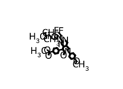 COC(=O)c1ccc(-c2c(=O)n(-c3ccc(OC)cc3)cc3cnc(N(COCC[Si](C)(C)C)CC(F)(F)F)nc23)cc1